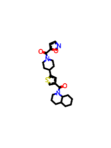 O=C(c1ccno1)N1CCC(c2cc(C(=O)N3CCCC4CCCCC43)cs2)CC1